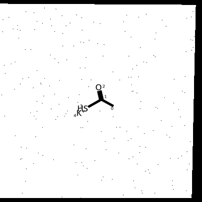 CC(=O)S.[K+]